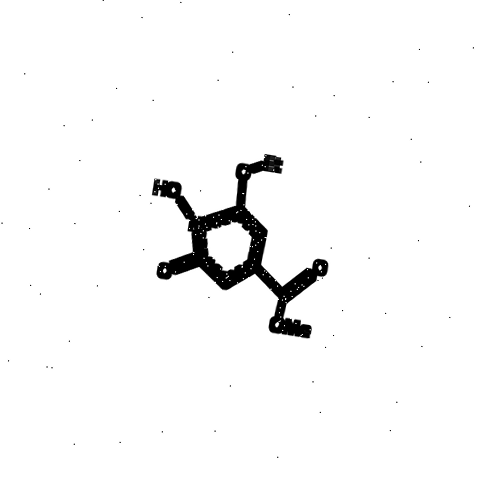 CCOc1cc(C(=O)OC)cc(=O)n1O